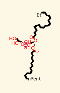 CC/C=C\C/C=C\C/C=C\C/C=C\C/C=C\CCCC(=O)O[C@H](COC(=O)CCCCCCC/C=C\C/C=C\CCCCC)COP(=O)(O)OC[C@@H](O)CO